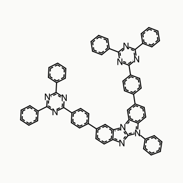 c1ccc(-c2nc(-c3ccccc3)nc(-c3ccc(-c4ccc5nc6n(-c7ccccc7)c7ccc(-c8ccc(-c9nc(-c%10ccccc%10)nc(-c%10ccccc%10)n9)cc8)cc7n6c5c4)cc3)n2)cc1